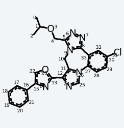 CC(C)OCc1nnc2n1Cc1c(-c3nc(-c4ccccc4)co3)ncn1-c1ccc(Cl)cc1-2